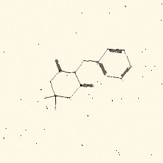 CC1(C)CC(=O)C(Cc2ccccc2)C(=O)C1